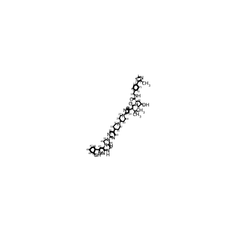 Cc1ncsc1-c1ccc(CNC(=O)[C@@H]2C[C@@H](O)CN2C(=O)[C@H](c2cc(N3CCC(N4CCC(c5cnc(N6CCN7c8cc(-c9ccccc9O)nnc8NC[C@H]7C6)nc5)CC4)CC3)no2)C(C)C)cc1